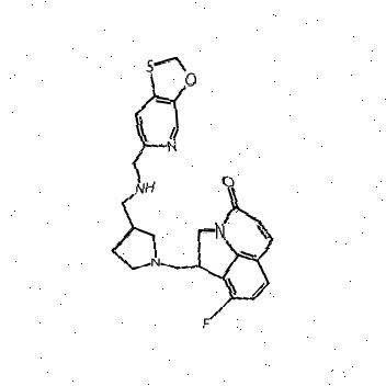 O=c1ccc2ccc(F)c3c2n1CC3CN1CCC(CNCc2cc3c(cn2)OCS3)C1